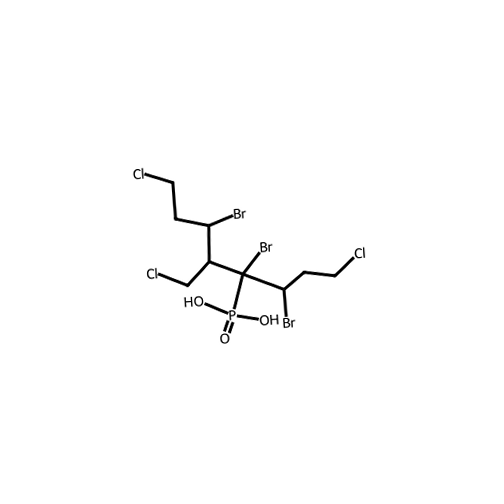 O=P(O)(O)C(Br)(C(Br)CCCl)C(CCl)C(Br)CCCl